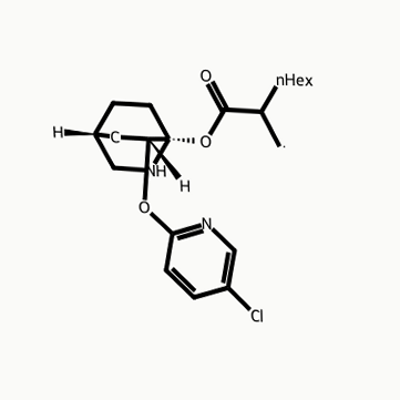 [CH2]C(CCCCCC)C(=O)O[C@]12CC[C@@H](CN1)C[C@H]2Oc1ccc(Cl)cn1